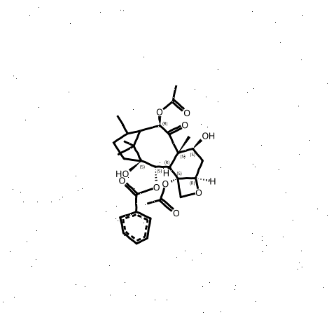 CC(=O)O[C@H]1C(=O)[C@@]2(C)[C@H]([C@H](OC(=O)c3ccccc3)[C@]3(O)CCC(C)C1C3(C)C)[C@]1(OC(C)=O)CO[C@@H]1C[C@@H]2O